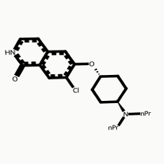 CCCN(CCC)[C@H]1CC[C@H](Oc2cc3cc[nH]c(=O)c3cc2Cl)CC1